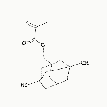 C=C(C)C(=O)OCC12CC3CC(C#N)(CC(C#N)(C3)C1)C2